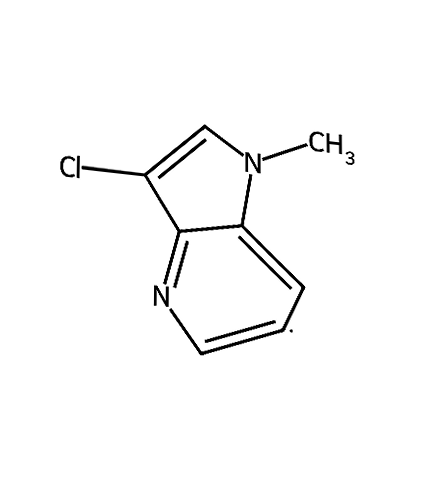 Cn1cc(Cl)c2nc[c]cc21